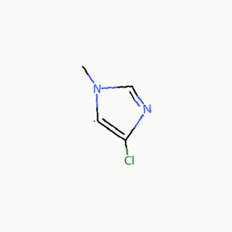 Cn1[c]c(Cl)nc1